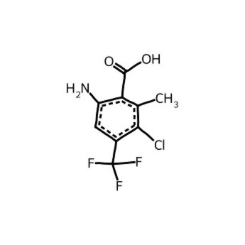 Cc1c(Cl)c(C(F)(F)F)cc(N)c1C(=O)O